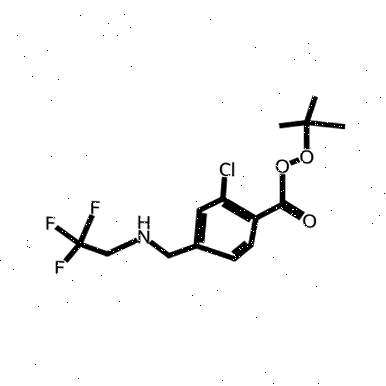 CC(C)(C)OOC(=O)c1ccc(CNCC(F)(F)F)cc1Cl